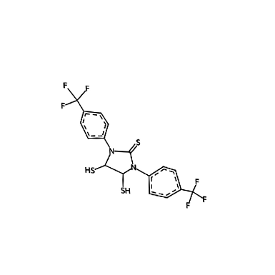 FC(F)(F)c1ccc(N2C(=S)N(c3ccc(C(F)(F)F)cc3)C(S)C2S)cc1